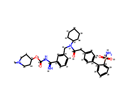 CN1CCC(OC(=O)NC(=N)c2cccc(CN(C(=O)Cc3ccc(-c4ccccc4S(N)(=O)=O)cc3)C3CCCCC3)c2)CC1